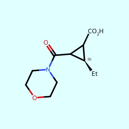 CC[C@@H]1C(C(=O)O)C1C(=O)N1CCOCC1